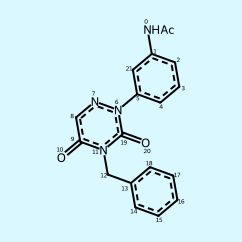 CC(=O)Nc1cccc(-n2ncc(=O)n(Cc3ccccc3)c2=O)c1